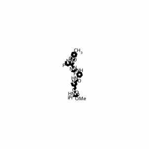 COC(=O)[C@H](NC(=O)OCc1ccnc(C(=O)N[C@@H]2CCC[C@H](Nc3nc(-c4cn(S(=O)(=O)c5ccc(C)cc5)c5ncc(F)cc45)ncc3F)C2)c1)C(C)C